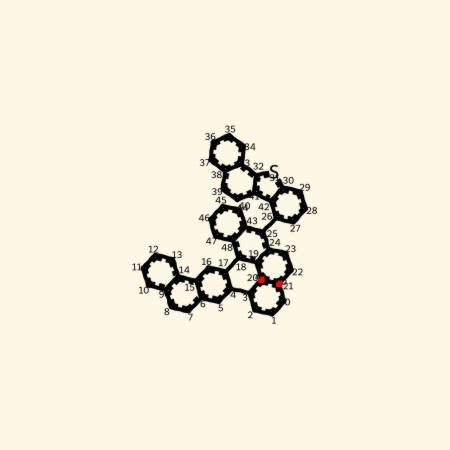 c1ccc(-c2cc3ccc4ccccc4c3cc2-c2c3ccccc3c(-c3cccc4sc5c6ccccc6ccc5c34)c3ccccc23)cc1